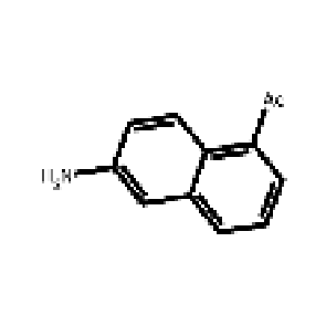 CC(=O)c1cccc2[c]c(N)ccc12